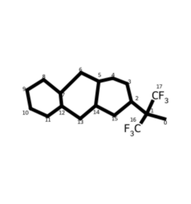 CC(C1CCC2CC3CCCCC3CC2C1)(C(F)(F)F)C(F)(F)F